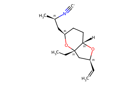 [C-]#[N+][C@H](C)C[C@H]1CC[C@@H]2O[C@@H](C=C)C[C@]2(CC)O1